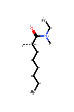 CC(C)CN(C)C(=O)[C@@H](C)CCCCCC(C)(C)C